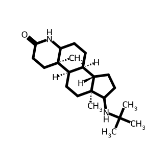 CC(C)(C)NC1CC[C@H]2[C@@H]3CCC4NC(=O)CC[C@]4(C)[C@@H]3CC[C@]12C